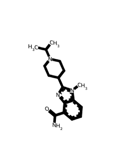 CC(C)N1CCC(c2nc3c(C(N)=O)cccc3n2C)CC1